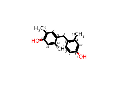 Cc1cc(Cc2ccc(O)cc2C)c(C)cc1O